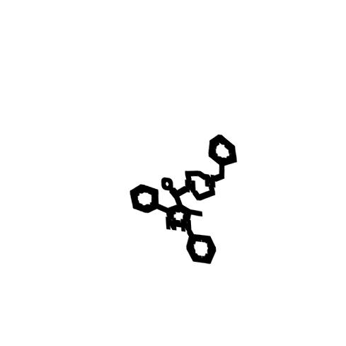 Cc1c(C(=O)N2CCN(Cc3ccccc3)CC2)c(-c2ccccc2)nn1-c1ccccc1